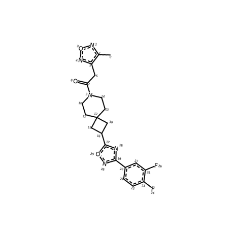 Cc1nonc1CC(=O)N1CCC2(CC1)CC(c1nc(-c3ccc(F)c(F)c3)no1)C2